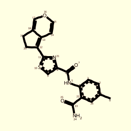 Cc1ccc(NC(=O)c2csc(C3=C4C=COC=C4CC3)n2)c(C(N)=O)c1